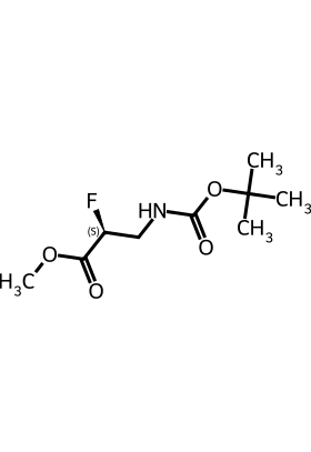 COC(=O)[C@@H](F)CNC(=O)OC(C)(C)C